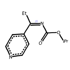 CC/C(=N/C(=O)OC(C)C)c1ccncc1